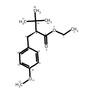 CCOC(=O)[C@@H](Cc1ccc(OC)cc1)C(C)(C)C